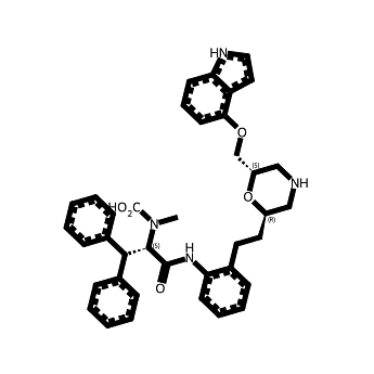 CN(C(=O)O)[C@H](C(=O)Nc1ccccc1CC[C@@H]1CNC[C@@H](COc2cccc3[nH]ccc23)O1)C(c1ccccc1)c1ccccc1